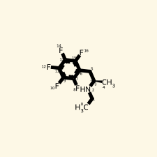 CCN[C@H](C)Cc1c(F)c(F)c(F)c(F)c1F